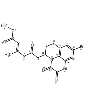 COC(=O)C=C(C)NC(=O)CC1CSc2cc(Br)cc3[nH]c(=O)c(=O)n1c23